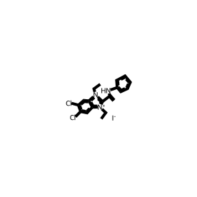 C=C(Nc1ccccc1)c1n(CC)c2cc(Cl)c(Cl)cc2[n+]1CC.[I-]